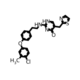 Cc1cc(Oc2ccc(CCNc3nc(=O)c(Cc4nccs4)c[nH]3)cc2)ccc1Cl